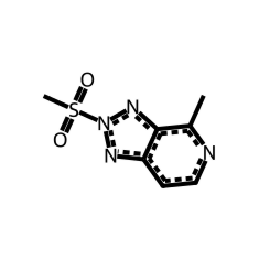 Cc1nccc2nn(S(C)(=O)=O)nc12